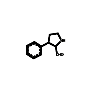 O=[C]C1NCCC1c1ccccc1